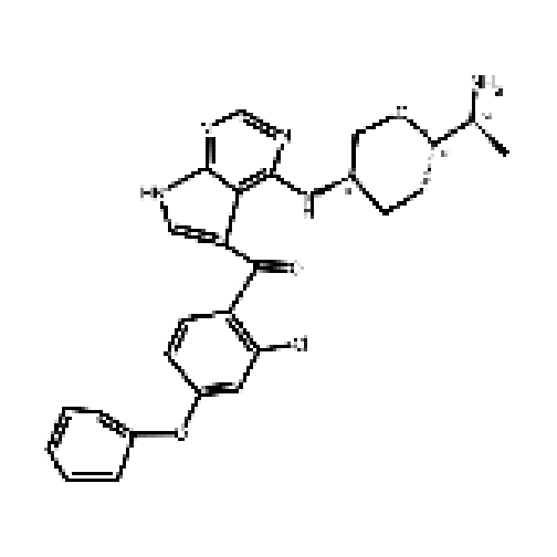 C[C@H](N)[C@@H]1CC[C@@H](Nc2ncnc3[nH]cc(C(=O)c4ccc(Oc5ccccc5)cc4Cl)c23)CO1